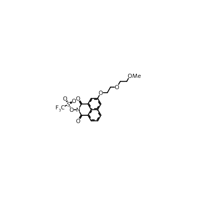 COCCOCCOc1cc2c3c(cccc3c1)C(=O)N(OS(=O)(=O)C(F)(F)F)C2=O